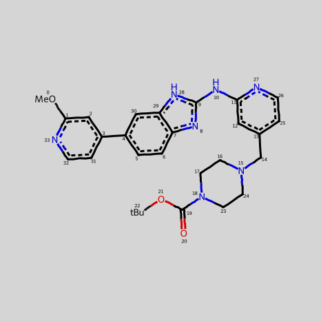 COc1cc(-c2ccc3nc(Nc4cc(CN5CCN(C(=O)OC(C)(C)C)CC5)ccn4)[nH]c3c2)ccn1